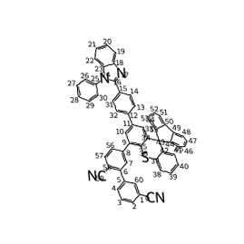 N#Cc1cccc(-c2cc(-c3cc(-c4ccc(-c5nc6ccccc6n5-c5ccccc5)cc4)cc4c3Sc3ccccc3C43c4ccccc4-c4ccccc43)ccc2C#N)c1